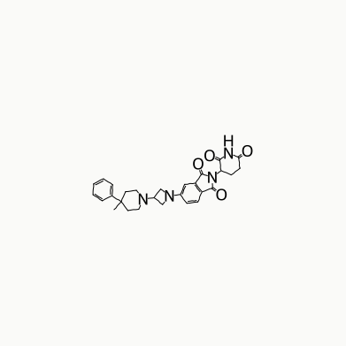 CC1(c2ccccc2)CCN(C2CN(c3ccc4c(c3)C(=O)N(C3CCC(=O)NC3=O)C4=O)C2)CC1